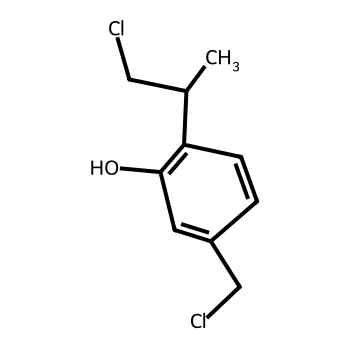 CC(CCl)c1ccc(CCl)cc1O